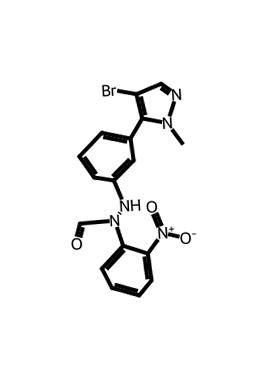 Cn1ncc(Br)c1-c1cccc(NN(C=O)c2ccccc2[N+](=O)[O-])c1